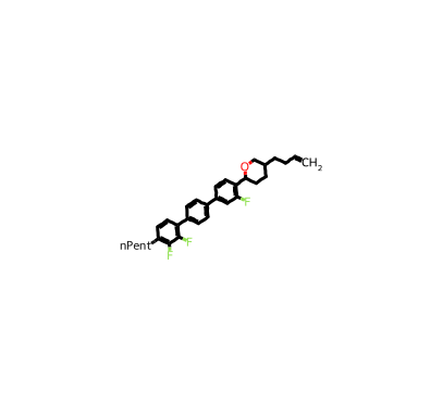 C=CCCC1CCC(c2ccc(-c3ccc(-c4ccc(CCCCC)c(F)c4F)cc3)cc2F)OC1